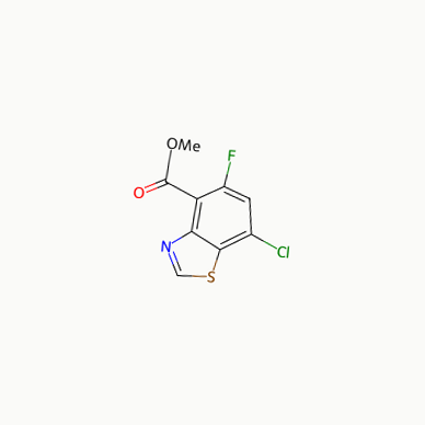 COC(=O)c1c(F)cc(Cl)c2scnc12